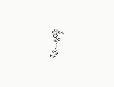 COC(=O)CCCCCNC(=O)c1ccc(OC)c(OC)c1